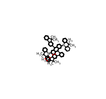 CC1(C)C2=C(C=CCC2)N(c2ccc3c(-c4ccc5c(c4)C(C)(C)c4ccccc4-5)c4cc(N5c6ccccc6C(C)(C)c6ccccc65)ccc4c(-c4ccccc4-c4ccc5c(c4)C(C)(C)c4ccccc4-5)c3c2)c2ccccc21